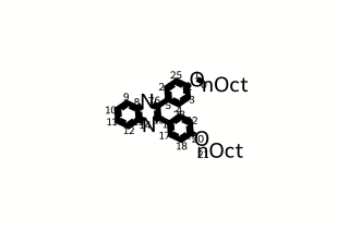 CCCCCCCCOc1ccc(-c2nc3ccccc3nc2-c2ccc(OCCCCCCCC)cc2)cc1